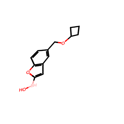 OBc1cc2cc(COC3CCC3)ccc2o1